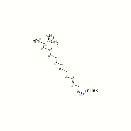 CCCCCC/C=C\CC=CCCCCCCCCCC(CCC)N(C)C